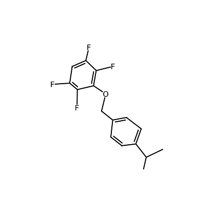 CC(C)c1ccc(COc2c(F)c(F)cc(F)c2F)cc1